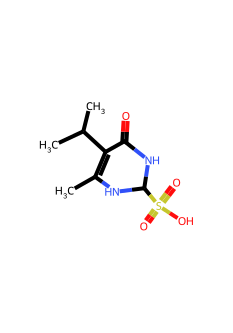 CC1=C(C(C)C)C(=O)NC(S(=O)(=O)O)N1